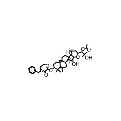 CC(=O)OC(C1C[C@@H](C)[C@H]2C(O1)[C@H](O)[C@@]1(C)C3CC[C@H]4C(C)(C)C(OC5OCCN(Cc6ccccc6)C5=O)CCC45CC35CCC21C)C(C)(C)O